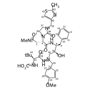 CNC(=O)C[C@@H](C(=O)N[C@@H](Cc1ccccc1)[C@@H](O)CN(Cc1ccc(OC)cc1)NC(=O)[C@@H](NC(=O)O)C(C)(C)C)N1CCN(Cc2csc(C)n2)C1=O